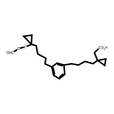 O=COCC1(CCCCc2cccc(CCCCC3(CC(=O)O)CC3)c2)CC1